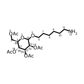 CC(=O)OC[C@H]1OC(OCCCCCCN)[C@@H](OC(C)=O)[C@@H](OC(C)=O)[C@@H]1OC(C)=O